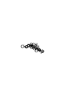 C[C@H](C(=O)N1CCC(N2CCCC2)CC1)N1CC[C@H](N(C)S(=O)(=O)c2ccc3cc(Cl)ccc3c2)C1=O